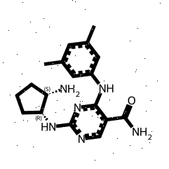 Cc1cc(C)cc(Nc2nc(N[C@@H]3CCC[C@@H]3N)ncc2C(N)=O)c1